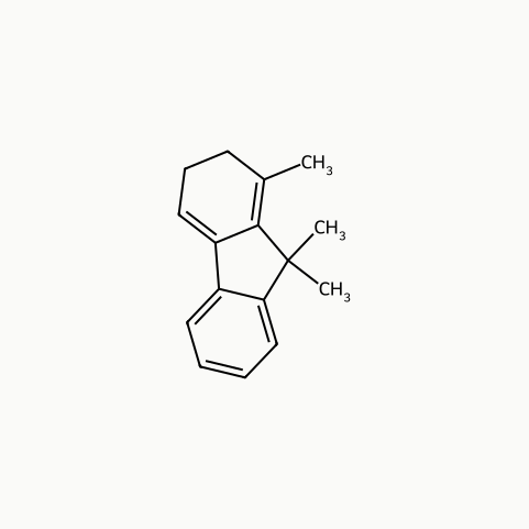 CC1=C2C(=CCC1)c1ccccc1C2(C)C